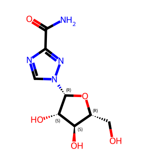 NC(=O)c1ncn([C@@H]2O[C@H](CO)[C@@H](O)[C@@H]2O)n1